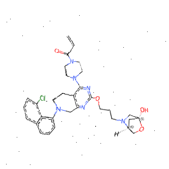 C=CC(=O)N1CCN(c2nc(OCCCN3C[C@]4(O)C[C@H]3CO4)nc3c2CCN(c2cccc4cccc(Cl)c24)C3)CC1